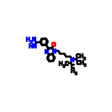 CC(C)N(CCCCCn1c(=O)c(-c2cccc(C(=N)N)c2)nc2ccccc21)C(C)C